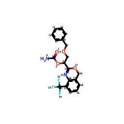 NC(=O)OC(COCc1ccccc1)C1=Nc2c(cccc2C(F)(F)F)CO1